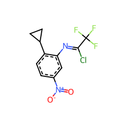 O=[N+]([O-])c1ccc(C2CC2)c(/N=C(\Cl)C(F)(F)F)c1